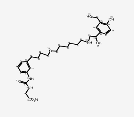 O=C(O)CNC(=O)Nc1cccc(CCCCOCCCCCCNC[C@H](O)c2ccc(O)c(CO)c2)c1